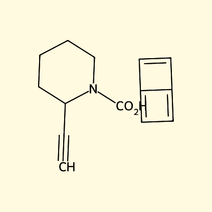 C#CC1CCCCN1C(=O)O.c1cc2ccc1-2